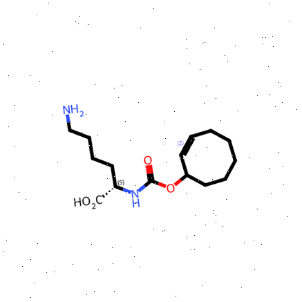 NCCCC[C@H](NC(=O)OC1/C=C\CCCCC1)C(=O)O